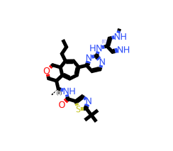 CCCC1=CC(c2ccnc(N/C(C=N)=C/NC)n2)=CC=C2C1COCC2[C@@H](C)NC(=O)c1cnc(C(C)(C)C)s1